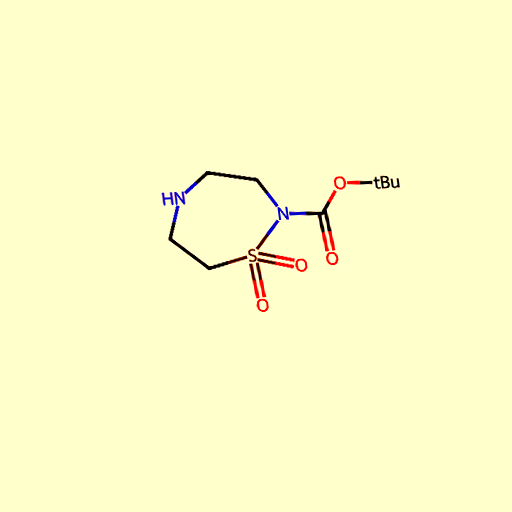 CC(C)(C)OC(=O)N1CCNCCS1(=O)=O